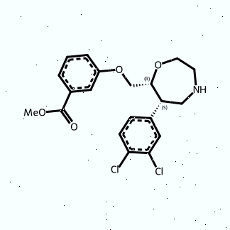 COC(=O)c1cccc(OC[C@@H]2OCCNC[C@@H]2c2ccc(Cl)c(Cl)c2)c1